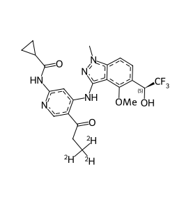 [2H]C([2H])([2H])CC(=O)c1cnc(NC(=O)C2CC2)cc1Nc1nn(C)c2ccc([C@H](O)C(F)(F)F)c(OC)c12